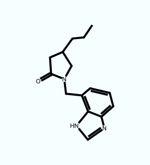 CCCC1CC(=O)N(Cc2cccc3nc[nH]c23)C1